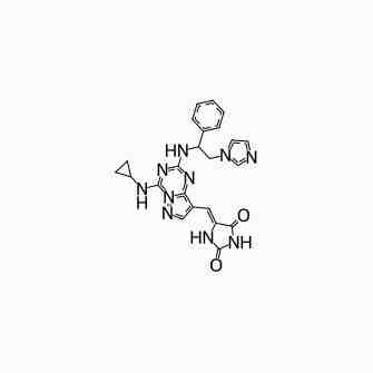 O=C1NC(=O)/C(=C/c2cnn3c(NC4CC4)nc(NC(Cn4ccnc4)c4ccccc4)nc23)N1